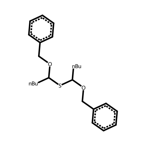 CCCCC(OCc1ccccc1)SC(CCCC)OCc1ccccc1